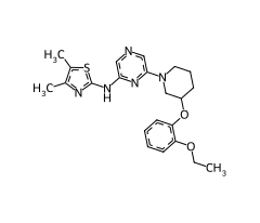 CCOc1ccccc1OC1CCCN(c2cncc(Nc3nc(C)c(C)s3)n2)C1